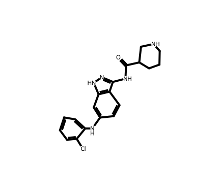 O=C(Nc1n[nH]c2cc(Nc3ccccc3Cl)ccc12)C1CCCNC1